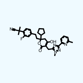 Cc1cccc(-c2nc(CC3=C(O)CC(CCc4ccc(C(C)(C)C#N)c(F)c4)(C4CCCC4)OC3=O)n(C)n2)n1